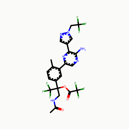 CC(=O)NCC(OC(=O)C(F)(F)F)(c1ccc(C)c(-c2cnc(N)c(-c3cnn(CC(F)(F)F)c3)n2)c1)C(F)(F)F